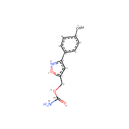 COc1ccc(-c2cc(COC(N)=O)on2)cc1